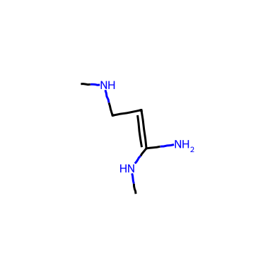 CNC/C=C(/N)NC